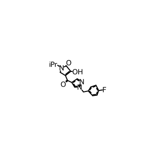 CC(C)N1CC(C(=O)c2cnn(Cc3ccc(F)cc3)c2)=C(O)C1=O